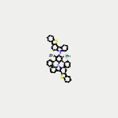 CC(C)(C)c1c(-c2ccccc2F)c(-n2c3ccccc3c3c4sc5ccccc5c4ccc32)c(-c2ccccc2F)c(C(C)(C)C)c1-n1c2ccccc2c2c3sc4ccccc4c3ccc21